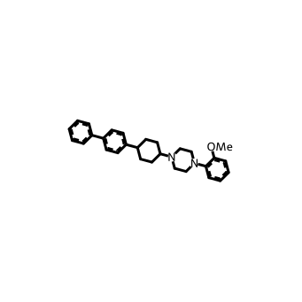 COc1ccccc1N1CCN(C2CCC(c3ccc(-c4ccccc4)cc3)CC2)CC1